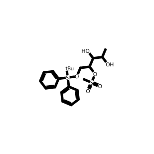 CC(O)C(O)C(CO[Si](c1ccccc1)(c1ccccc1)C(C)(C)C)OS(C)(=O)=O